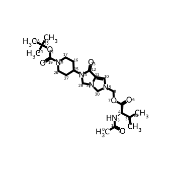 CC(=O)N[C@H](C(=O)OCN1C=C2C(=O)N(C3CCN(C(=O)OC(C)(C)C)CC3)CN2C1)C(C)C